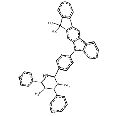 CN1C(c2ccccc2)NC(c2ccc(-n3c4ccccc4c4cc5c(cc43)C(C)(C)c3ccccc3-5)nc2)N(C)C1c1ccccc1